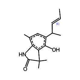 C/C=C/C(C)c1cc(C)c2c(c1O)C(C)(C)C(=O)N2